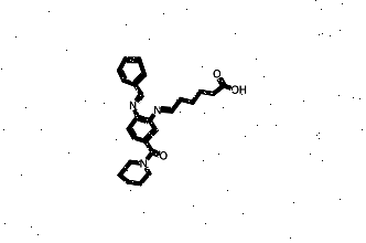 O=C(O)CCCC/C=N/c1cc(C(=O)N2CCCCC2)ccc1/N=C/c1ccccc1